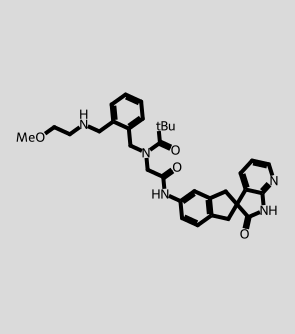 COCCNCc1ccccc1CN(CC(=O)Nc1ccc2c(c1)CC1(C2)C(=O)Nc2ncccc21)C(=O)C(C)(C)C